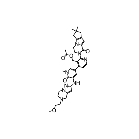 COCCN1CCn2nc(Nc3cc(-c4ccnc(N5CCn6c(cc7c6CC(C)(C)C7)C5=O)c4COC(C)=O)cn(C)c3=O)cc2C1